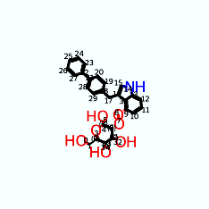 OC[C@H]1O[C@@H](O)[C@H](OOc2cccc3[nH]cc(Cc4ccc(-c5ccccc5)cc4)c23)[C@@H](O)[C@@H]1O